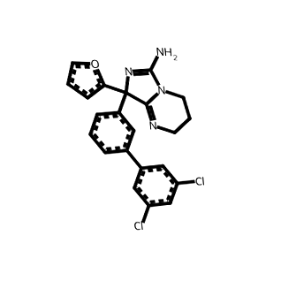 NC1=NC(c2cccc(-c3cc(Cl)cc(Cl)c3)c2)(c2ccco2)C2=NCCCN12